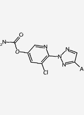 CC(=O)c1cnn(-c2ncc(OC(N)=O)cc2Cl)n1